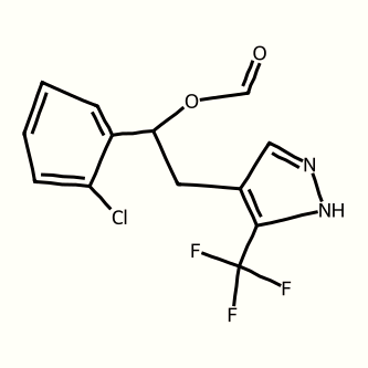 O=COC(Cc1cn[nH]c1C(F)(F)F)c1ccccc1Cl